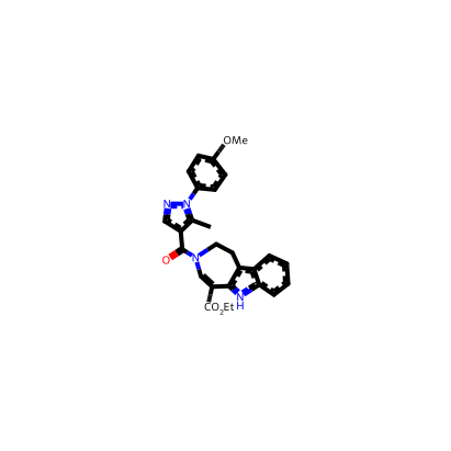 CCOC(=O)C1=CN(C(=O)c2cnn(-c3ccc(OC)cc3)c2C)CCc2c1[nH]c1ccccc21